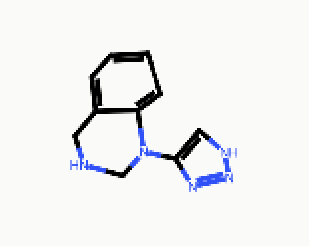 c1ccc2c(c1)CNCN2c1c[nH]nn1